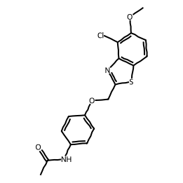 COc1ccc2sc(COc3ccc(NC(C)=O)cc3)nc2c1Cl